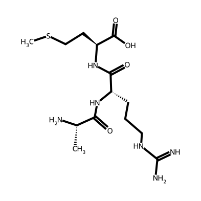 CSCC[C@H](NC(=O)[C@H](CCCNC(=N)N)NC(=O)[C@H](C)N)C(=O)O